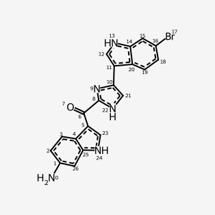 Nc1ccc2c(C(=O)c3nc(-c4c[nH]c5cc(Br)ccc45)c[nH]3)c[nH]c2c1